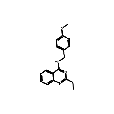 CCc1nc(NCc2ccc(OC)cc2)c2ccccc2n1